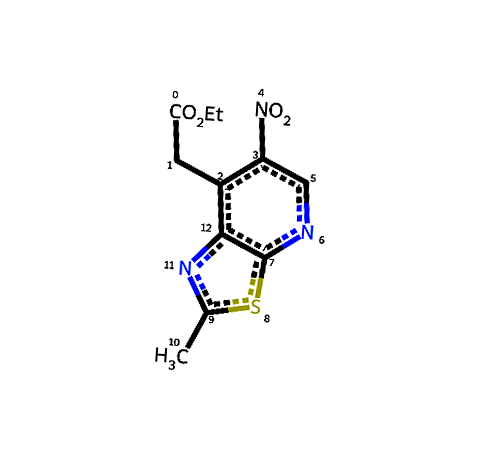 CCOC(=O)Cc1c([N+](=O)[O-])cnc2sc(C)nc12